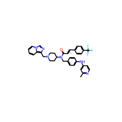 Cc1cc(Nc2ccc(CN(C(=O)/C=C/c3ccc(C(F)(F)F)cc3)C3CCN(Cc4ncn5ccccc45)CC3)cc2)ccn1